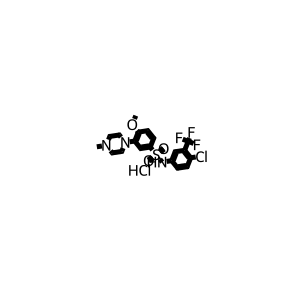 COc1ccc(S(=O)(=O)Nc2ccc(Cl)c(C(F)(F)F)c2)cc1N1CCN(C)CC1.Cl